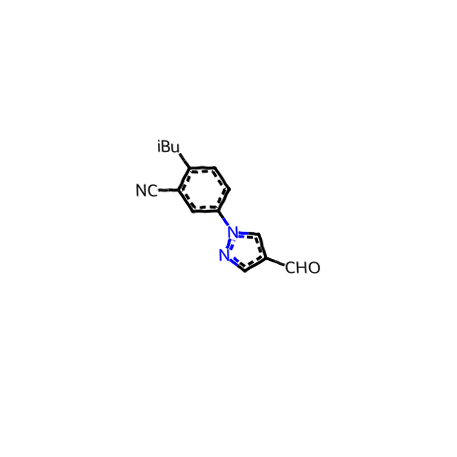 CCC(C)c1ccc(-n2cc(C=O)cn2)cc1C#N